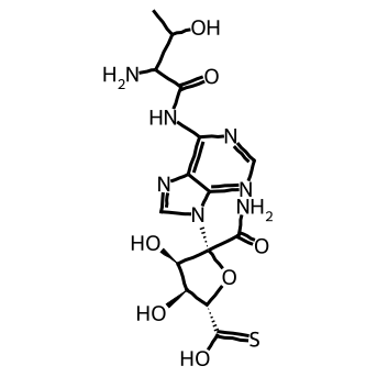 CC(O)C(N)C(=O)Nc1ncnc2c1ncn2[C@]1(C(N)=O)O[C@H](C(O)=S)[C@@H](O)[C@H]1O